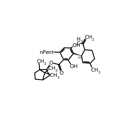 C=C(C)C1CCC(C)=C[C@H]1c1c(O)cc(CCCCC)c(C(=O)OC2CC3CCC2(C)C3(C)C)c1O